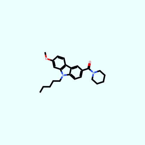 CCCCCn1c2ccc(C(=O)N3CCCCC3)cc2c2ccc(OC)cc21